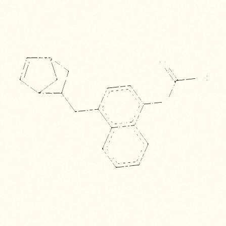 CC(=O)Oc1ccc(CC2CC3C=CC2C3)c2ccccc12